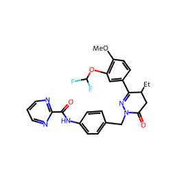 CCC1CC(=O)N(Cc2ccc(NC(=O)c3ncccn3)cc2)N=C1c1ccc(OC)c(OC(F)F)c1